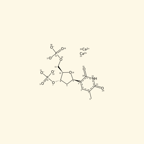 Cc1cn([C@H]2C[C@H](OP(=O)([O-])[O-])[C@@H](COP(=O)([O-])[O-])O2)c(=O)[nH]c1=O.[Ca+2].[Ca+2]